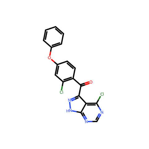 O=C(c1ccc(Oc2ccccc2)cc1Cl)c1n[nH]c2ncnc(Cl)c12